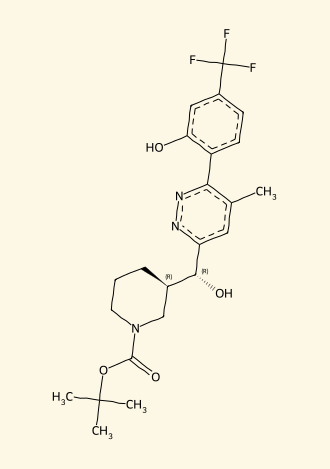 Cc1cc([C@H](O)[C@@H]2CCCN(C(=O)OC(C)(C)C)C2)nnc1-c1ccc(C(F)(F)F)cc1O